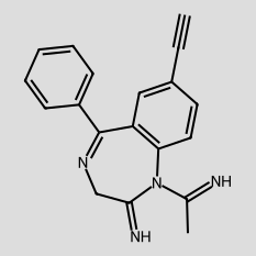 C#Cc1ccc2c(c1)C(c1ccccc1)=NCC(=N)N2C(C)=N